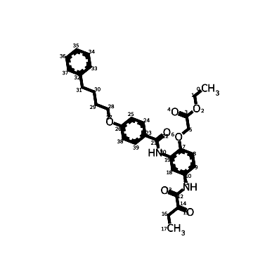 CCOC(=O)COc1ccc(NC(=O)C(=O)CC)cc1NC(=O)c1ccc(OCCCCc2ccccc2)cc1